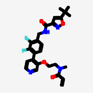 C=CC(=O)N(C)CCOc1cnccc1-c1ccc(CNC(=O)c2cc(C(C)(C)C)on2)c(F)c1F